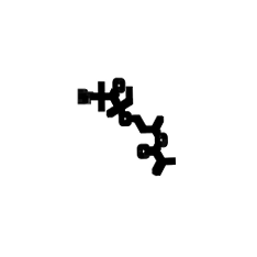 C=C(C)C(=O)OC(C)CCOC(C)(CC)C(=O)C(C)(C)Br